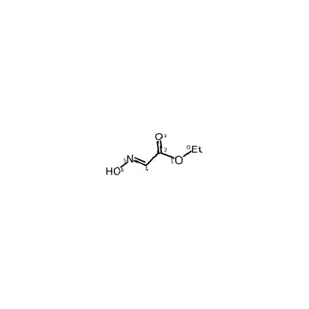 CCOC(=O)/C=N/O